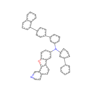 c1ccc(-c2cccc(N(c3cccc(-c4ccc(-c5cccc6ccccc56)cc4)c3)c3ccc4oc5c6cnccc6ccc5c4c3)c2)cc1